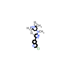 CN(c1ccc(-c2ccc3ncc(Cl)cc3c2)nn1)C1CC(C)(C)NC(C)(C)C1